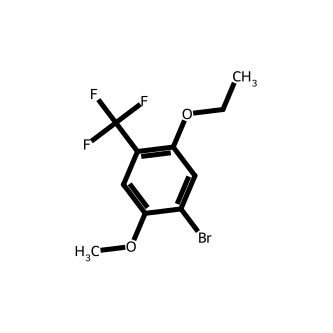 CCOc1cc(Br)c(OC)cc1C(F)(F)F